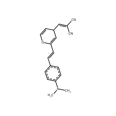 CN(C)c1ccc(/C=C/C2=CC(C=C(C#N)C#N)C=CO2)cc1